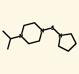 CC(C)N1CCN(SN2CCCC2)CC1